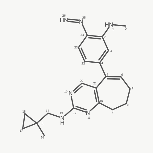 CNc1cc(C2=CCCCc3nc(NCC4(C)CC4)ncc32)ccc1N=N